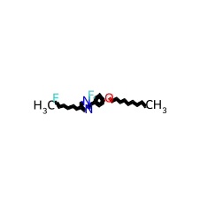 CCCCCCCCCCOc1ccc(-c2ncc(CCCCCC(C)F)cn2)c(F)c1